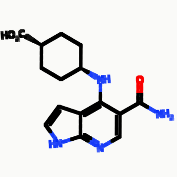 NC(=O)c1cnc2[nH]ccc2c1N[C@H]1CC[C@@H](C(=O)O)CC1